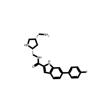 NC[C@H]1CN[C@@H](CNC(=O)c2cc3ccc(-c4ccc(F)cc4)cc3[nH]2)C1